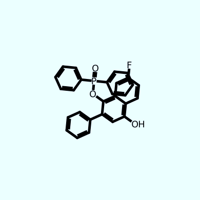 O=P(Oc1c(-c2ccccc2)cc(O)c2ccc(F)cc12)(c1ccccc1)c1ccccc1